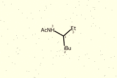 CCC(C)C(CC)NC(C)=O